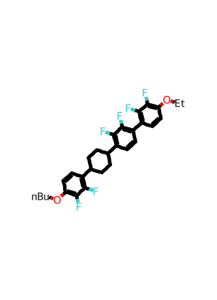 CCCCOc1ccc(C2CCC(c3ccc(-c4ccc(OCC)c(F)c4F)c(F)c3F)CC2)c(F)c1F